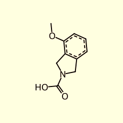 COc1cccc2c1CN(C(=O)O)C2